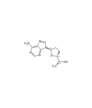 C[C@H](O)[C@@H]1CC[C@H](n2cnc3c(N)ncnc32)O1